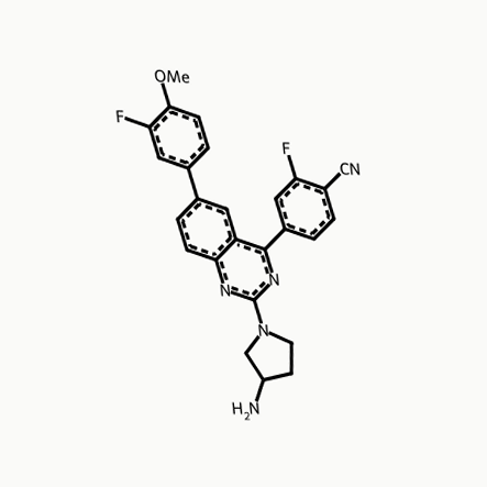 COc1ccc(-c2ccc3nc(N4CCC(N)C4)nc(-c4ccc(C#N)c(F)c4)c3c2)cc1F